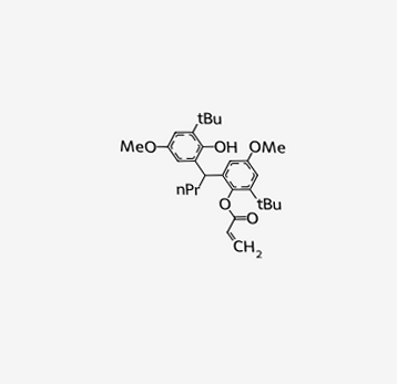 C=CC(=O)Oc1c(C(CCC)c2cc(OC)cc(C(C)(C)C)c2O)cc(OC)cc1C(C)(C)C